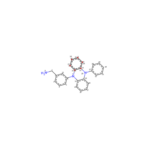 NCc1cccc(N(c2ccccc2)c2ccccc2N(c2ccccc2)c2ccccc2)c1